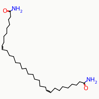 NC(=O)CCCCCCC/C=C\CCCCCCCCCCCCC/C=C\CCCCCCCC(N)=O